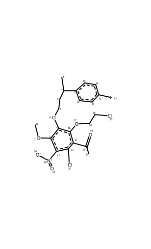 COc1c(OCCC(C)c2ccc(F)cc2)c(OCCCl)c(C(C)=O)c(Cl)c1[N+](=O)[O-]